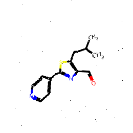 CC(C)Cc1sc(-c2ccncc2)nc1C=O